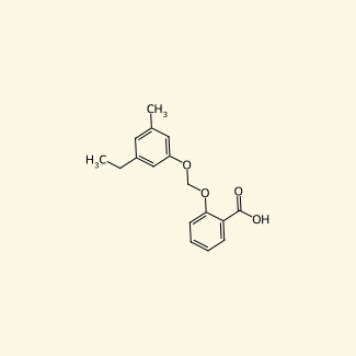 CCc1cc(C)cc(OCOc2ccccc2C(=O)O)c1